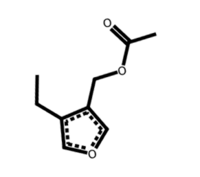 CCc1cocc1COC(C)=O